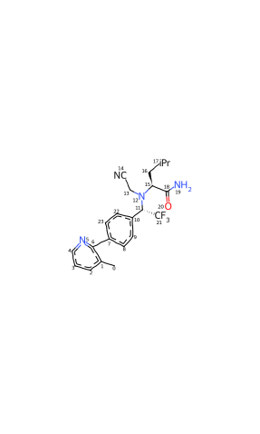 Cc1cccnc1-c1ccc([C@H](N(CC#N)[C@@H](CC(C)C)C(N)=O)C(F)(F)F)cc1